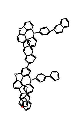 c1ccc(-c2ccc(N(c3ccc(-c4ccccc4)cc3)c3cc(-c4ccc5cc6sc7c(ccc8oc9cccc(N(c%10ccccc%10)c%10ccc(-c%11ccc%12ccccc%12c%11)cc%10)c9c87)c6cc5c4)cc4oc5ccc6c7cc8ccccc8cc7sc6c5c34)cc2)cc1